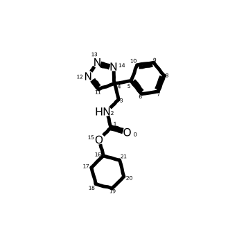 O=C(NCC1(c2ccccc2)C=NN=N1)OC1CCCCC1